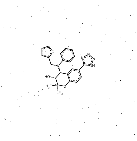 CC1(C)Oc2ccc(-c3nnn[nH]3)cc2[C@H](N(Cc2ccco2)c2ccccc2)[C@H]1O